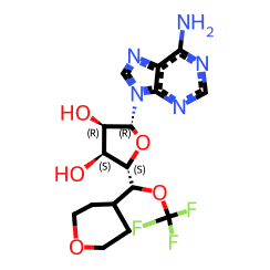 Nc1ncnc2c1ncn2[C@@H]1O[C@H](C(OC(F)(F)F)C2CCOCC2)[C@@H](O)[C@H]1O